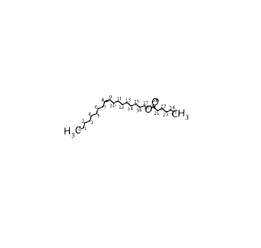 CCCCCCCC/C=C\CCCCCCCCOC(=O)CCCCC